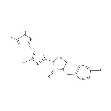 Cc1cc(-c2sc(N3CCN(Cc4ccc(F)cc4)C3=O)nc2C)n[nH]1